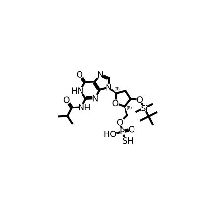 CC(C)C(=O)Nc1nc2c(ncn2[C@H]2CC(O[Si](C)(C)C(C)(C)C)[C@@H](COP(=O)(O)S)O2)c(=O)[nH]1